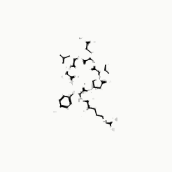 CC(C)C[C@@H](NC(=O)[C@@H](CCC(=O)O)NC(=O)[C@@H](C(C)C)N1C[C@H](NC(=O)[C@@H](Cc2ccc(O)cc2)NC(=O)[C@H](N)CCCNC(=N)N)CC1=O)C(=O)N[C@H](C)C(N)=O